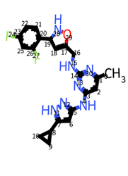 Cc1cc(Nc2cc(C3CC3)[nH]n2)nc(NCC2=CC(c3ccc(F)cc3F)NO2)n1